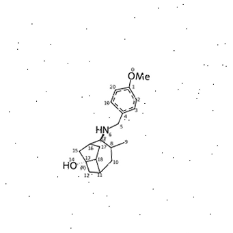 COc1ccc(CN[C@H]2C(C)CC3C[C@@]4(O)CC2CC34)cc1